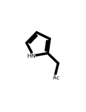 CC(=O)Cc1ccc[nH]1